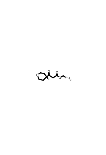 CCOC(=O)CC(=O)C1(F)CCOCC1